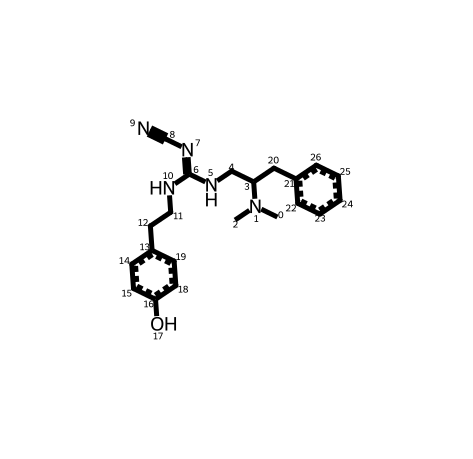 CN(C)C(CN/C(=N/C#N)NCCc1ccc(O)cc1)Cc1ccccc1